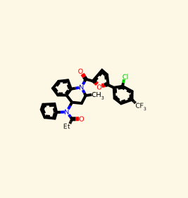 CCC(=O)N(c1ccccc1)C1CC(C)N(C(=O)c2ccc(-c3ccc(C(F)(F)F)cc3Cl)o2)c2ccccc21